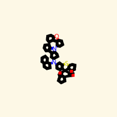 c1ccc2c(c1)Sc1cc(N(c3ccc4c(c3)c3ccccc3n4-c3cccc4oc5ccccc5c34)c3cccc4ccccc34)ccc1C21c2ccccc2-c2cccc3cccc1c23